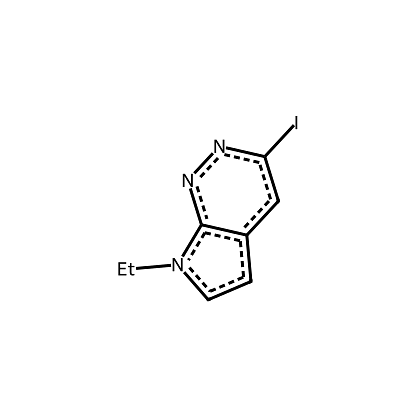 CCn1ccc2cc(I)nnc21